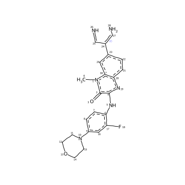 Cn1c(=O)c(Nc2ccc(N3CCOCC3)cc2F)nc2ccc(/C(C=N)=C/N)cc21